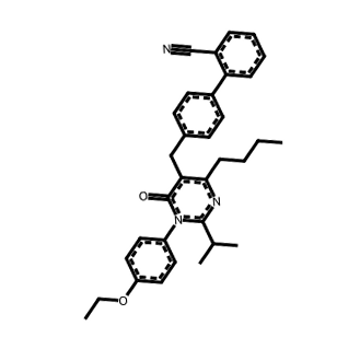 CCCCc1nc(C(C)C)n(-c2ccc(OCC)cc2)c(=O)c1Cc1ccc(-c2ccccc2C#N)cc1